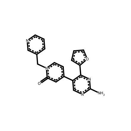 Nc1ncc(-c2ccn(Cc3cccnc3)c(=O)c2)c(-c2ccco2)n1